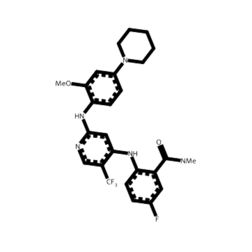 CNC(=O)c1cc(F)ccc1Nc1cc(Nc2ccc(N3CCCCC3)cc2OC)ncc1C(F)(F)F